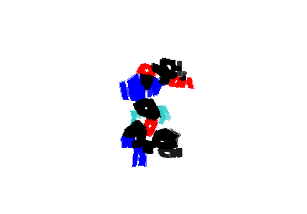 CC1(CO)CN=C(Nc2cc(F)c(Oc3ccnc4[nH]cc(-c5ccccc5C#N)c34)c(F)c2)OC1